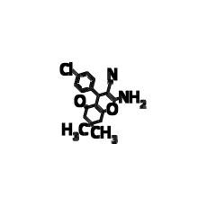 CC1(C)CC(=O)C2=C(C1)OC(N)=C(C#N)C2c1ccc(Cl)cc1